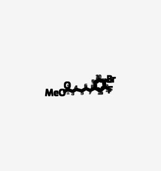 COC(=O)CCCCCc1ccc(Br)c(F)c1